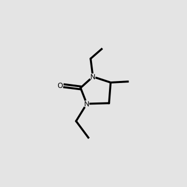 CCN1CC(C)N(CC)C1=O